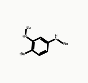 CCC(C)Nc1ccc(C(C)(C)C)c(NC(C)CC)c1